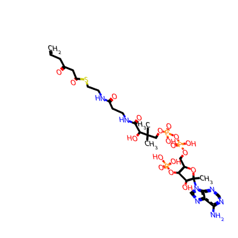 C=CCC(=O)CC(=O)SCCNC(=O)CCNC(=O)C(O)C(C)(C)COP(=O)(O)OP(=O)(O)OCC1OC(C)(n2cnc3c(N)ncnc32)C(O)C1OP(=O)(O)O